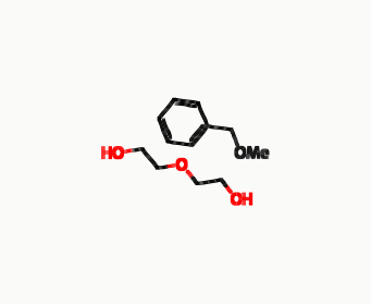 COCc1ccccc1.OCCOCCO